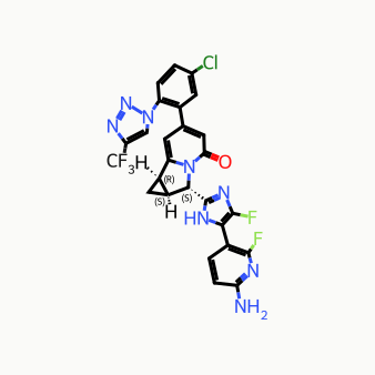 Nc1ccc(-c2[nH]c([C@@H]3[C@H]4C[C@H]4c4cc(-c5cc(Cl)ccc5-n5cc(C(F)(F)F)nn5)cc(=O)n43)nc2F)c(F)n1